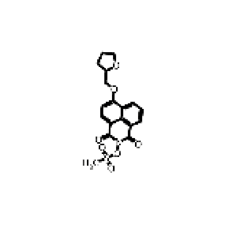 CS(=O)(=O)ON1C(=O)c2cccc3c(OCC4CCCO4)ccc(c23)C1=O